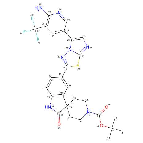 CC(C)(C)OC(=O)N1CCC2(CC1)C(=O)Nc1ccc(-c3nn4c(-c5cnc(N)c(C(F)(F)F)c5)cnc4s3)cc12